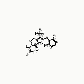 CC(C(F)F)N1CCc2c(nn(Cc3c(F)cccc3F)c2C(F)(F)F)C1=O